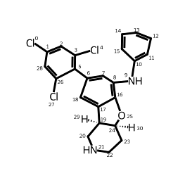 Clc1cc(Cl)c(-c2cc(Nc3ccccc3)c3c(c2)[C@@H]2CNCC[C@@H]2O3)c(Cl)c1